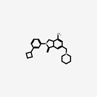 C=C1C2C=C(CN3CCCCC3)C=C(C(F)(F)F)C2CN1c1cccc(C2CCC2)c1